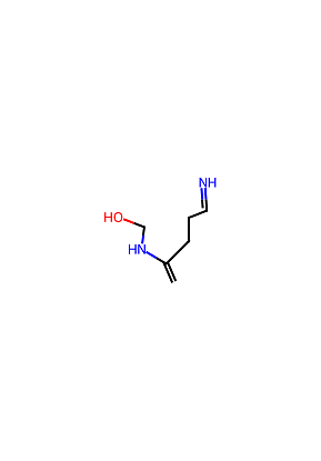 C=C(CCC=N)NCO